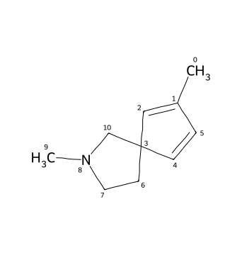 CC1=CC2(C=C1)CCN(C)C2